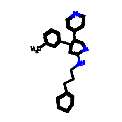 Cc1cccc(-c2cc(NCCCc3ccccc3)ncc2-c2ccncc2)c1